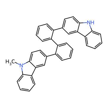 Cn1c2ccccc2c2cc(-c3ccccc3-c3ccccc3-c3ccc4[nH]c5ccccc5c4c3)ccc21